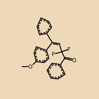 COc1ccc(/C(=C\C(F)(F)C(=O)c2ccccc2)c2ccccc2)cc1